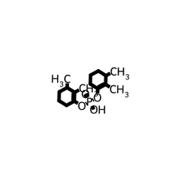 CC1=C(OP(=O)(O)OC2=C(C)C(C)CCC2)CCCC1C